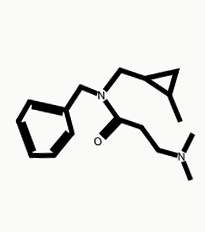 CC1CC1CN(Cc1ccccc1)C(=O)CCN(C)C